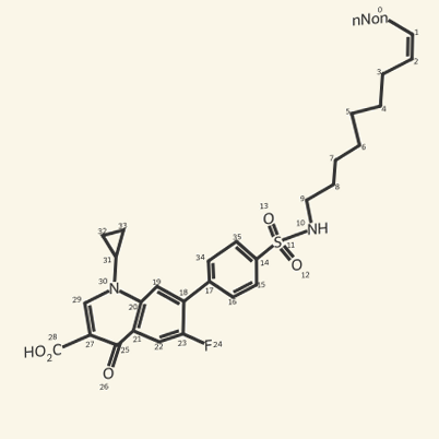 CCCCCCCCC/C=C\CCCCCCCNS(=O)(=O)c1ccc(-c2cc3c(cc2F)c(=O)c(C(=O)O)cn3C2CC2)cc1